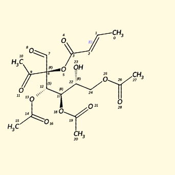 C/C=C/C(=O)O[C@](C=O)(C(C)=O)[C@@H](OC(C)=O)[C@H](OC(C)=O)[C@H](O)COC(C)=O